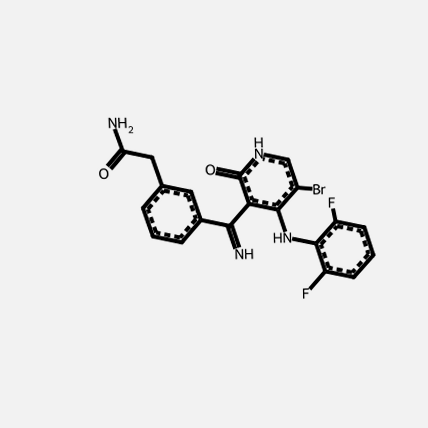 N=C(c1cccc(CC(N)=O)c1)c1c(Nc2c(F)cccc2F)c(Br)c[nH]c1=O